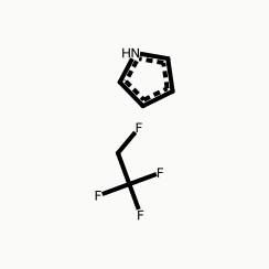 FCC(F)(F)F.c1cc[nH]c1